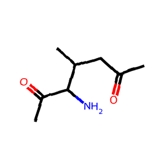 CC(=O)CC(C)C(N)C(C)=O